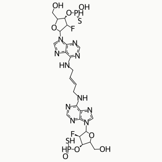 O=[PH](S)O[C@@H]1C(CO)OC(n2cnc3c(NC/C=C/CNc4ncnc5c4ncn5C4OC(CO)[C@@H](O[PH](O)=S)C4F)ncnc32)[C@@H]1F